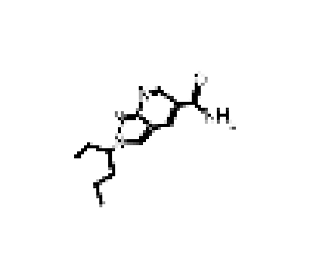 CCCC(CC)n1cc2cc(C(N)=O)cnc2n1